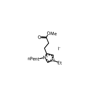 CCCCC[n+]1cn(CC)cc1CCC(=O)OC.[I-]